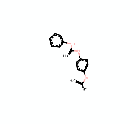 C=C(Bc1ccccc1)Bc1ccc(BC(=C)C(C)C)cc1